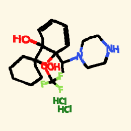 CC(N1CCNCC1)C1(OC(F)(F)F)C=CC=CC1(O)C1(O)CCCCC1.Cl.Cl